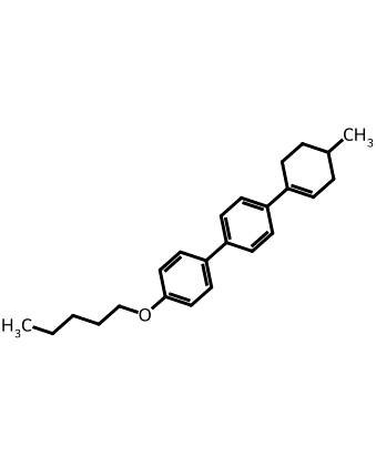 CCCCCOc1ccc(-c2ccc(C3=CCC(C)CC3)cc2)cc1